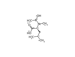 CB(O)N(C)[C@@H](CC(C)C)C(=O)O